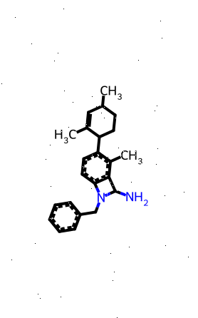 CC1=CC(C)CCC1c1ccc2c(c1C)C(N)N2Cc1ccccc1